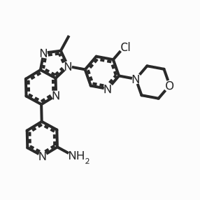 Cc1nc2ccc(-c3ccnc(N)c3)nc2n1-c1cnc(N2CCOCC2)c(Cl)c1